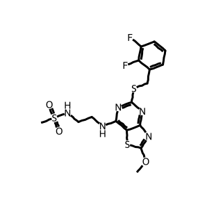 COc1nc2nc(SCc3cccc(F)c3F)nc(NCCNS(C)(=O)=O)c2s1